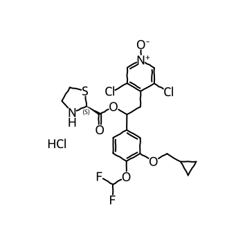 Cl.O=C(OC(Cc1c(Cl)c[n+]([O-])cc1Cl)c1ccc(OC(F)F)c(OCC2CC2)c1)[C@H]1NCCS1